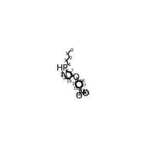 CCCCCPc1cc(Oc2ccc([N+](=O)[O-])cc2)ccn1